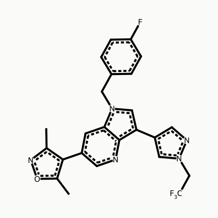 Cc1noc(C)c1-c1cnc2c(-c3cnn(CC(F)(F)F)c3)cn(Cc3ccc(F)cc3)c2c1